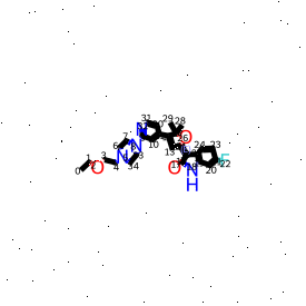 CCOCCN1CCN(c2cc(C3=C/C(=C4\C(=O)Nc5cc(F)ccc54)OC3(C)C)ccn2)CC1